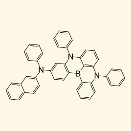 c1ccc(N(c2ccc3c(c2)N(c2ccccc2)c2cccc4c2B3c2ccccc2N4c2ccccc2)c2ccc3ccccc3c2)cc1